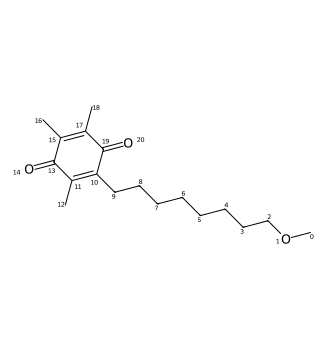 COCCCCCCCCC1=C(C)C(=O)C(C)=C(C)C1=O